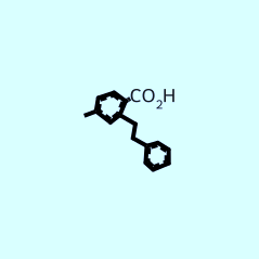 Cc1ccc(C(=O)O)c(CCc2ccccc2)c1